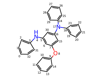 c1ccc(Nc2cc(Oc3ccccc3)cc(N(c3ccccc3)c3ccccc3)c2)cc1